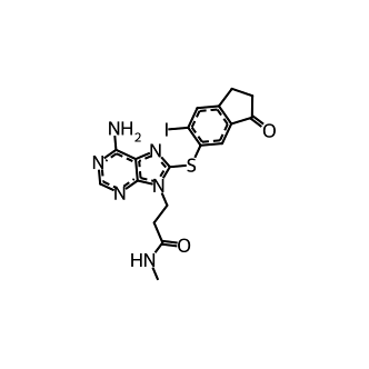 CNC(=O)CCn1c(Sc2cc3c(cc2I)CCC3=O)nc2c(N)ncnc21